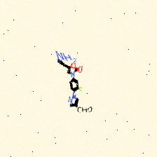 NCC1CN(c2ccc(-n3cc([C]=O)cn3)c(F)c2)C(=O)O1